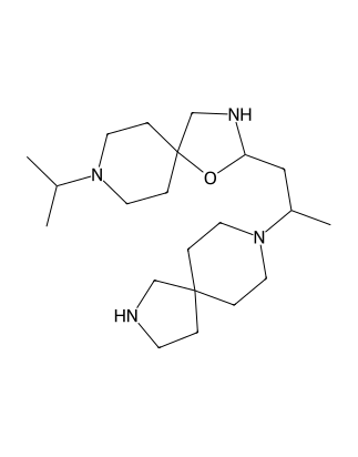 CC(C)N1CCC2(CC1)CNC(CC(C)N1CCC3(CCNC3)CC1)O2